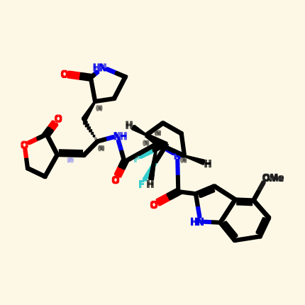 COc1cccc2[nH]c(C(=O)N3[C@H]4CC[C@@H]([C@H]3C(=O)N[C@H](/C=C3/CCOC3=O)C[C@@H]3CCNC3=O)C(F)(F)C4)cc12